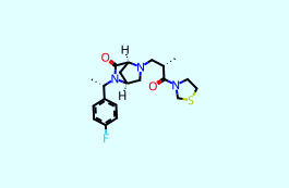 C[C@@H](CN1C[C@@H]2C[C@H]1C(=O)N2[C@@H](C)c1ccc(F)cc1)C(=O)N1CCSC1